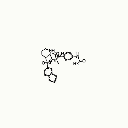 C[C@H](Nc1ccc(NC(=O)S)cc1)C(=O)C1(C(=O)O)NCCCC1S(=O)(=O)c1ccc2ccccc2c1